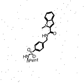 CCCCCNS(=O)(=O)c1ccc(CNC(=O)c2cc3ccccc3n2C)cc1